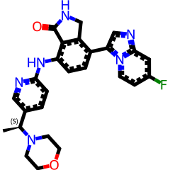 C[C@@H](c1ccc(Nc2ccc(-c3cnc4cc(F)ccn34)c3c2C(=O)NC3)nc1)N1CCOCC1